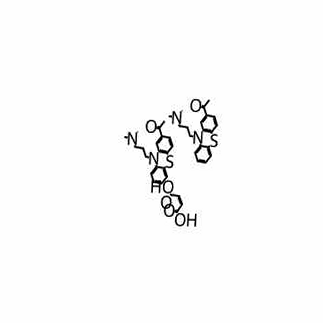 CC(=O)c1ccc2c(c1)N(CCCN(C)C)c1ccccc1S2.CC(=O)c1ccc2c(c1)N(CCCN(C)C)c1ccccc1S2.O=C(O)/C=C\C(=O)O